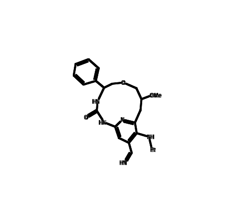 CCNc1c(C=N)cc2nc1CC(OC)COCC(c1ccccc1)NC(=O)N2